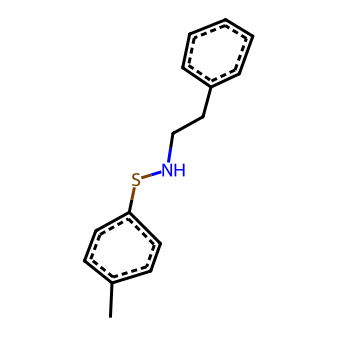 Cc1ccc(SNCCc2ccccc2)cc1